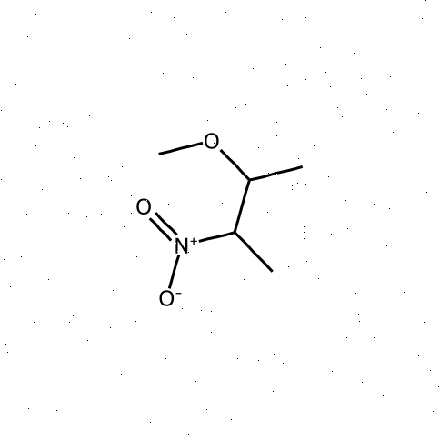 COC(C)C(C)[N+](=O)[O-]